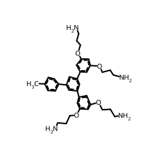 Cc1ccc(-c2cc(-c3cc(OCCCN)cc(OCCCN)c3)cc(-c3cc(OCCCN)cc(OCCCN)c3)c2)cc1